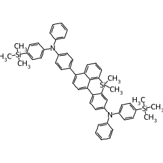 C[Si](C)(C)c1ccc(N(c2ccccc2)c2ccc(-c3ccc4c5c(cccc35)[Si](C)(C)c3cc(N(c5ccccc5)c5ccc([Si](C)(C)C)cc5)ccc3-4)cc2)cc1